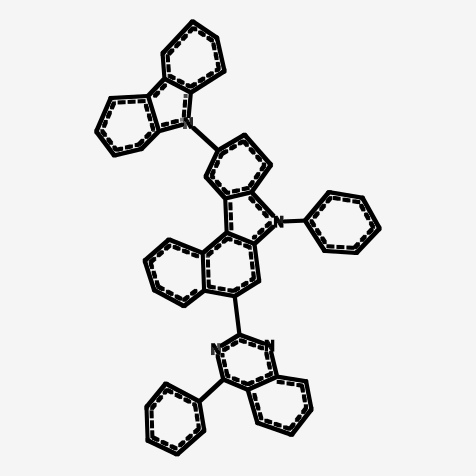 c1ccc(-c2nc(-c3cc4c(c5ccccc35)c3cc(-n5c6ccccc6c6ccccc65)ccc3n4-c3ccccc3)nc3ccccc23)cc1